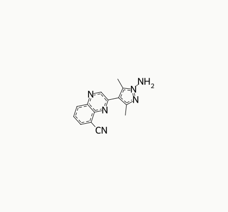 Cc1nn(N)c(C)c1-c1cnc2cccc(C#N)c2n1